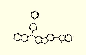 c1ccc(-c2ccc(N(c3ccc4c(c3)-c3ccc(C5=Nc6ccccc6C5)cc3C4)c3ccc4ccccc4c3)cc2)cc1